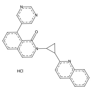 Cl.O=c1c2c(-c3cncnc3)cccc2ccn1C1CC1c1ccc2ccccc2n1